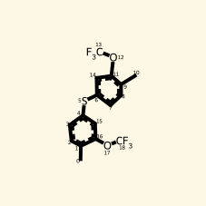 Cc1ccc(Sc2ccc(C)c(OC(F)(F)F)c2)cc1OC(F)(F)F